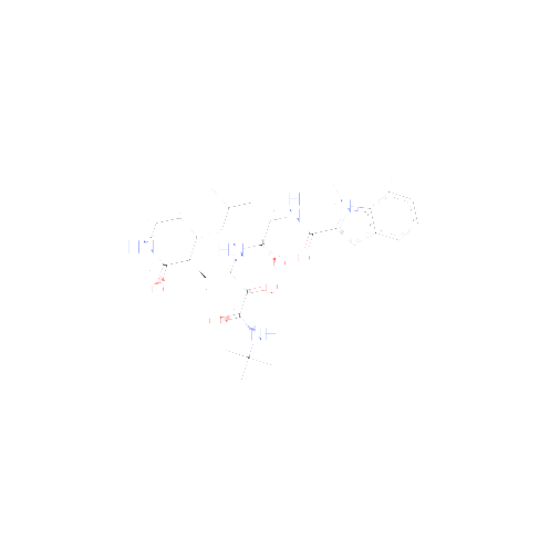 CC(C)C[C@H](NC(=O)c1cc2ccccc2n1C)C(=O)N[C@@H](C[C@@H]1CCCNC1=O)C(=O)C(=O)NC(C)(C)C